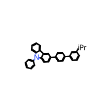 CC(C)c1cccc(-c2ccc(-c3ccc4c(c3)c3ccccc3n4-c3ccccc3)cc2)c1